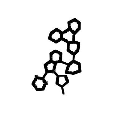 CC1C=CC(n2c(-c3ncccn3)cc3cccc(-c4ccccc4-c4ccc5c6ccccc6c6ccccc6c5c4)c32)=C1